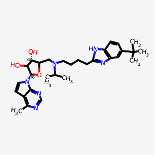 Cc1ncnc2c1ccn2[C@@H]1OC(CN(CCCCc2nc3cc(C(C)(C)C)ccc3[nH]2)C(C)C)[C@@H](O)C1O